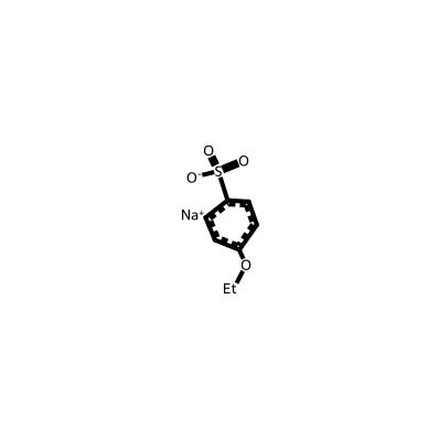 CCOc1ccc(S(=O)(=O)[O-])cc1.[Na+]